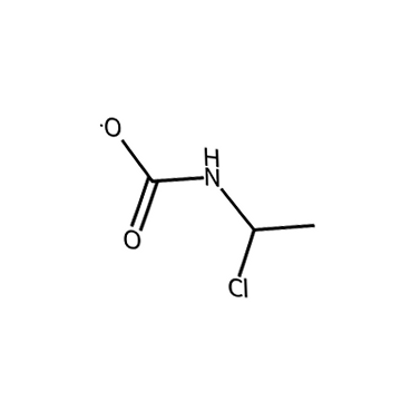 CC(Cl)NC([O])=O